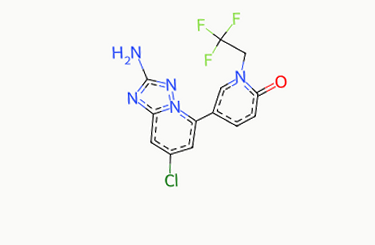 Nc1nc2cc(Cl)cc(-c3ccc(=O)n(CC(F)(F)F)c3)n2n1